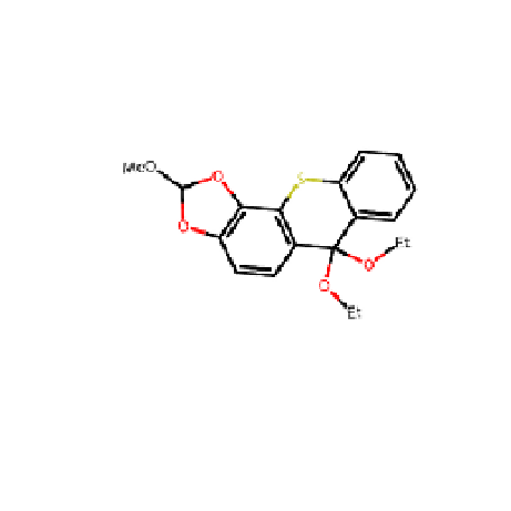 CCOC1(OCC)c2ccccc2Sc2c1ccc1c2OC(OC)O1